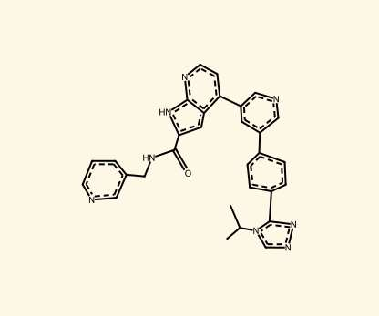 CC(C)n1cnnc1-c1ccc(-c2cncc(-c3ccnc4[nH]c(C(=O)NCc5cccnc5)cc34)c2)cc1